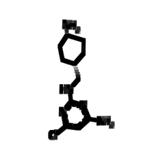 Nc1cc(Cl)nc(NC[C@H]2CC[C@@H](N)CC2)n1